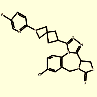 O=C1OCC2c3nnc(C4CC5(C4)CN(c4ccc(F)cn4)C5)n3-c3ccc(Cl)cc3CN12